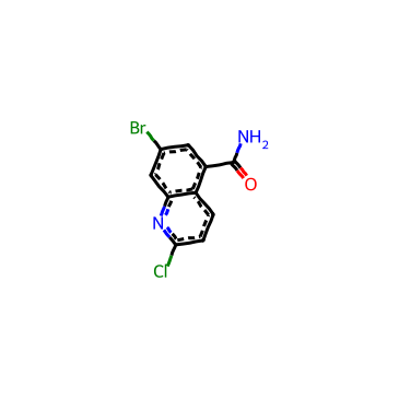 NC(=O)c1cc(Br)cc2nc(Cl)ccc12